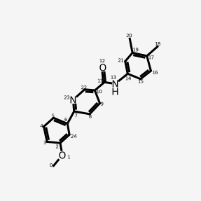 COc1cccc(-c2ccc(C(=O)Nc3ccc(C)c(C)c3)cn2)c1